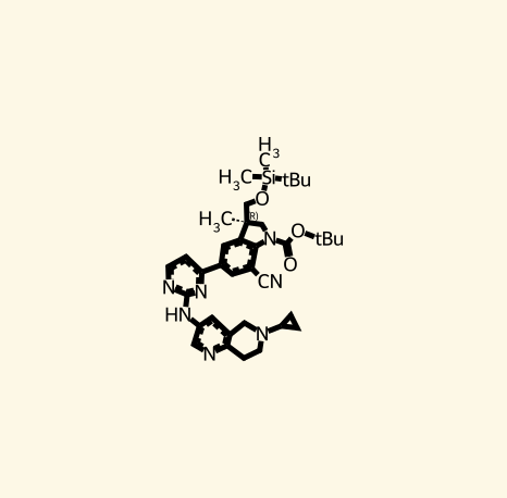 CC(C)(C)OC(=O)N1C[C@](C)(CO[Si](C)(C)C(C)(C)C)c2cc(-c3ccnc(Nc4cnc5c(c4)CN(C4CC4)CC5)n3)cc(C#N)c21